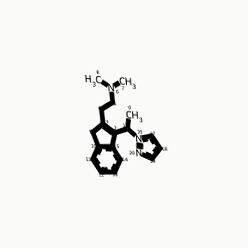 CC(C1=C(CCN(C)C)Cc2ccccc21)n1cccn1